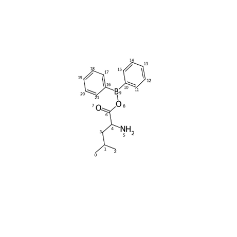 CC(C)CC(N)C(=O)OB(c1ccccc1)c1ccccc1